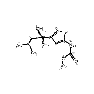 CC(=O)N(C)CC(C)(C)c1cc(NC(=O)OC(C)(C)C)on1